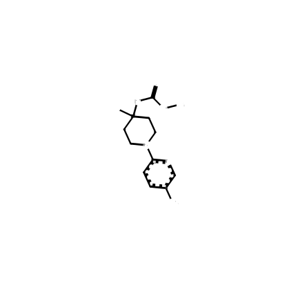 CC1(NC(=O)OC(C)(C)C)CCN(c2ccc(C#N)cn2)CC1